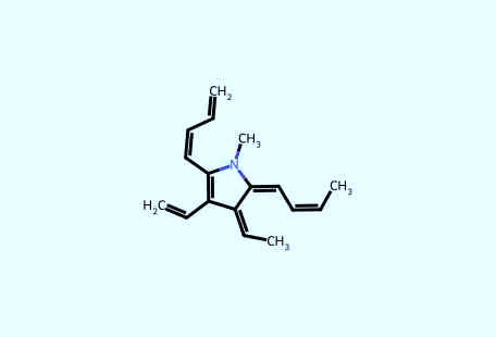 C=C/C=C\c1c(C=C)c(=C/C)/c(=C\C=C/C)n1C